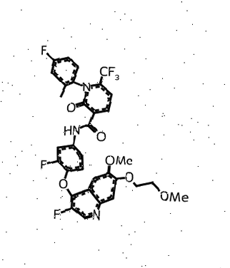 COCCOc1cc2ncc(F)c(Oc3ccc(NC(=O)c4ccc(C(F)(F)F)n(-c5ccc(F)cc5C)c4=O)cc3F)c2cc1OC